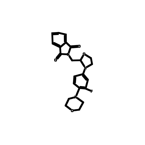 O=C1c2ccccc2C(=O)N1CC1OCCN1c1ccc(N2CCOCC2)c(F)c1